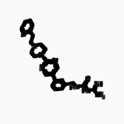 N=C(N)NC(=O)NCc1cccc(-c2cnc(N3CCN(CCc4ccccn4)CC3)nc2)c1